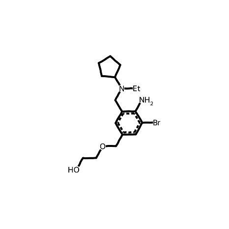 CCN(Cc1cc(COCCO)cc(Br)c1N)C1CCCC1